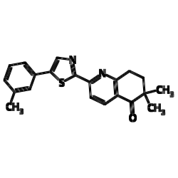 Cc1cccc(-c2cnc(-c3ccc4c(n3)CCC(C)(C)C4=O)s2)c1